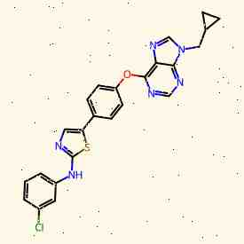 Clc1cccc(Nc2ncc(-c3ccc(Oc4ncnc5c4ncn5CC4CC4)cc3)s2)c1